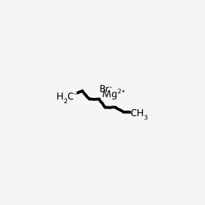 [Br-].[CH2-]CCCCCCC.[Mg+2]